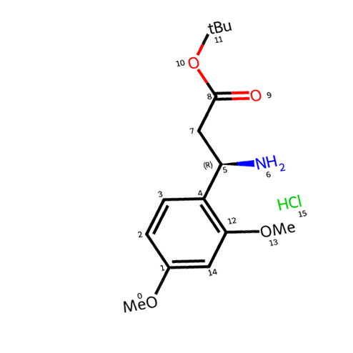 COc1ccc([C@H](N)CC(=O)OC(C)(C)C)c(OC)c1.Cl